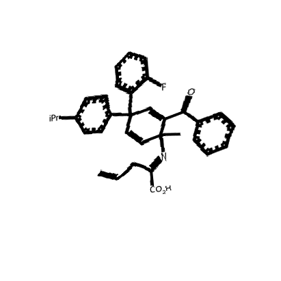 C=CCC(=NC1(C)C=CC(c2ccc(C(C)C)cc2)(c2ccccc2F)C=C1C(=O)c1ccccc1)C(=O)O